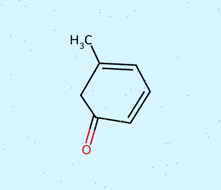 CC1=CC=CC(=O)C1